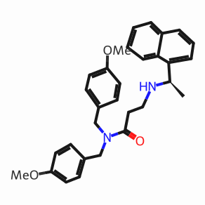 COc1ccc(CN(Cc2ccc(OC)cc2)C(=O)CCN[C@H](C)c2cccc3ccccc23)cc1